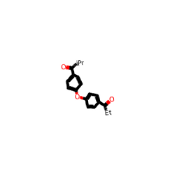 CCC(=O)c1ccc(Oc2ccc(C(=O)C(C)C)cc2)cc1